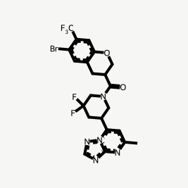 Cc1cc(C2CN(C(=O)C3COc4cc(C(F)(F)F)c(Br)cc4C3)CC(F)(F)C2)n2ncnc2n1